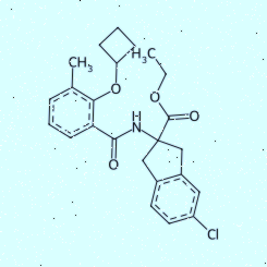 CCOC(=O)C1(NC(=O)c2cccc(C)c2OC2CCC2)Cc2ccc(Cl)cc2C1